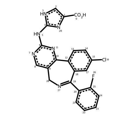 O=C(O)c1c[nH]c(Nc2ncc3c(n2)-c2ccc(Cl)cc2C(c2ccccc2F)=NC3)n1